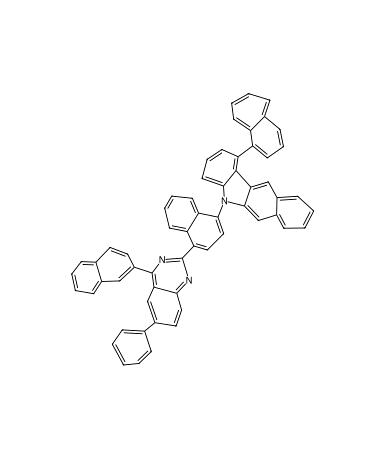 c1ccc(-c2ccc3nc(-c4ccc(-n5c6cc7ccccc7cc6c6c(-c7cccc8ccccc78)cccc65)c5ccccc45)nc(-c4ccc5ccccc5c4)c3c2)cc1